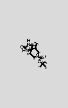 CC1CN(C(=O)OC(C)(C)C)CCC12NC(=O)NC2=O